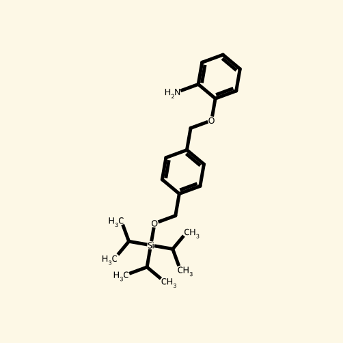 CC(C)[Si](OCc1ccc(COc2ccccc2N)cc1)(C(C)C)C(C)C